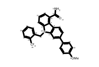 COc1ccc(-c2c[c]c3c4c(C(N)=O)cccc4n(Cc4ccccc4C(F)(F)F)c3c2)cc1